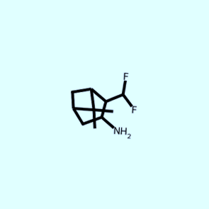 CC1(C)C2CC(N)C(C(F)F)C1C2